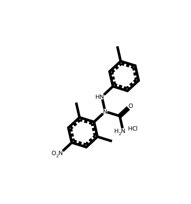 Cc1cccc(NN(C(N)=O)c2c(C)cc([N+](=O)[O-])cc2C)c1.Cl